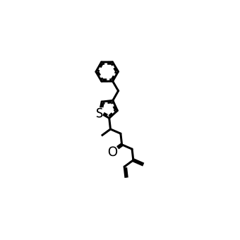 C=CC(=C)CC(=O)CC(C)c1cc(Cc2ccccc2)cs1